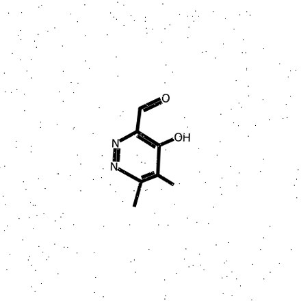 Cc1nnc(C=O)c(O)c1C